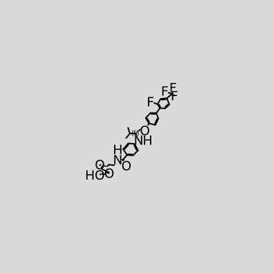 CC(C)[C@@H](COc1ccc(-c2ccc(C(F)(F)F)cc2F)cc1)Nc1ccc(C(=O)NCCS(=O)(=O)O)cc1